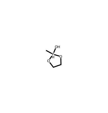 C[PH]1(O)OCCO1